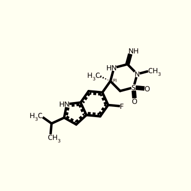 CC(C)c1cc2cc(F)c([C@]3(C)CS(=O)(=O)N(C)C(=N)N3)cc2[nH]1